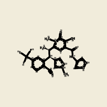 C[C@H](c1nc(C(=O)Nc2cnoc2)c(O)c(=O)n1C)[C@H](c1cnn(C)c1)c1cc(C(F)(F)F)ccc1C#N